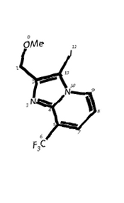 COCc1nc2c(C(F)(F)F)cccn2c1I